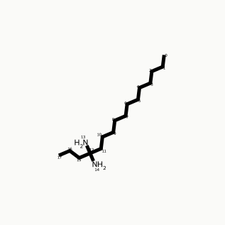 CCCCCCCCCCCCC(N)(N)CCC